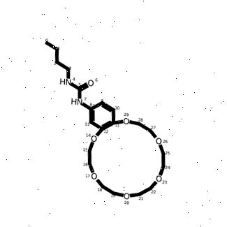 CCCCNC(=O)Nc1ccc2c(c1)OCCOCCOCCOCCOCCO2